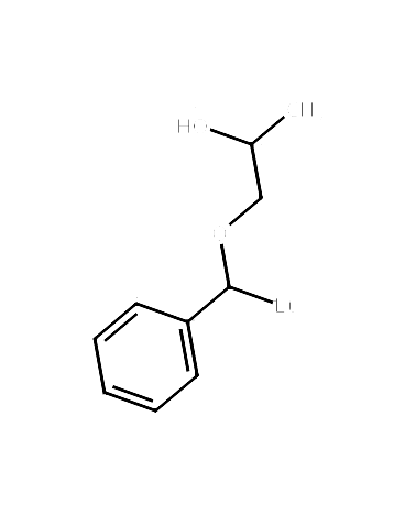 CCC(OCC(C)O)c1ccccc1